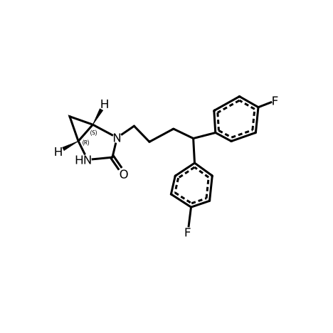 O=C1N[C@@H]2C[C@@H]2N1CCCC(c1ccc(F)cc1)c1ccc(F)cc1